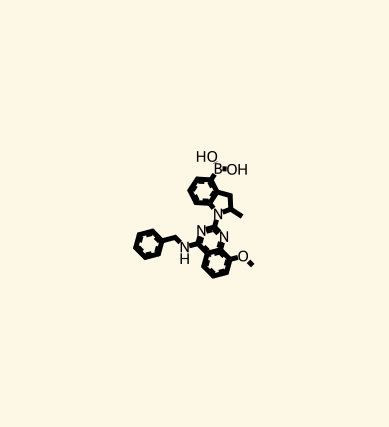 COc1cccc2c(NCc3ccccc3)nc(N3c4cccc(B(O)O)c4CC3C)nc12